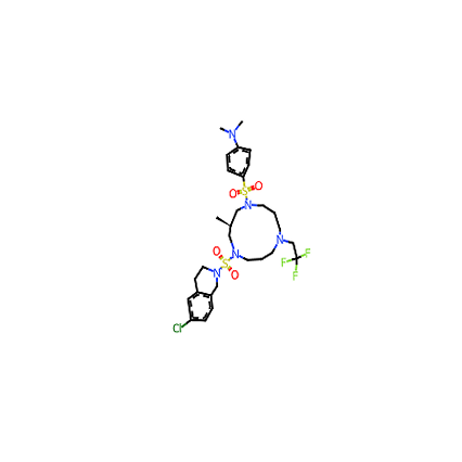 C[C@H]1CN(S(=O)(=O)c2ccc(N(C)C)cc2)CCCN(CC(F)(F)F)CCCN(S(=O)(=O)N2CCc3cc(Cl)ccc3C2)C1